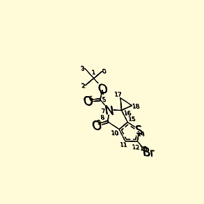 CC(C)(C)OC(=O)N1C(=O)c2cc(Br)sc2C12CC2